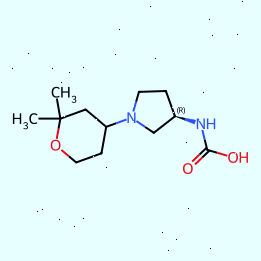 CC1(C)CC(N2CC[C@@H](NC(=O)O)C2)CCO1